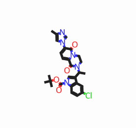 Cc1cn(-c2ccc3n(c2=O)CCN(C(C)c2cn(C(=O)OC(C)(C)C)c4ccc(Cl)cc24)C3=O)cn1